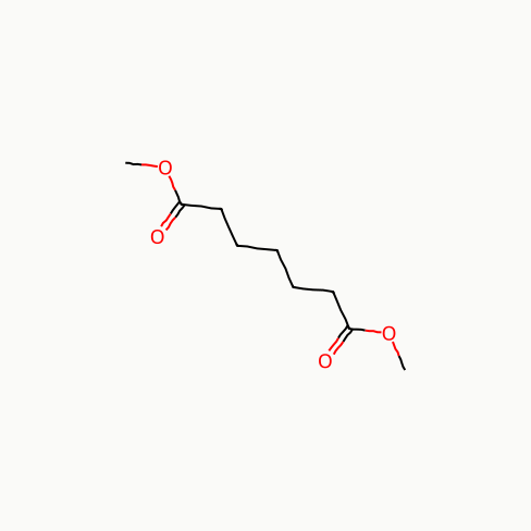 COC(=O)CCCCCC(=O)OC